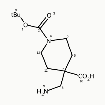 CC(C)(C)OC(=O)N1CCC(CN)(C(=O)O)CC1